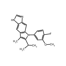 COc1cc(-n2c(C(C)C)c(C)c3cc4[nH]cnc4cc32)ccc1F